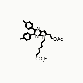 CCOC(=O)CCCCCCn1c(CCOC(C)=O)cc2nc(-c3ccc(C)cc3)c(-c3ccc(C)cc3)nc21